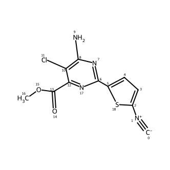 [C-]#[N+]c1ccc(-c2nc(N)c(Cl)c(C(=O)OC)n2)s1